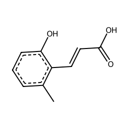 Cc1cccc(O)c1C=CC(=O)O